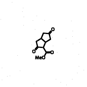 COC(=O)C1C(=O)CC2CC(=O)CC21